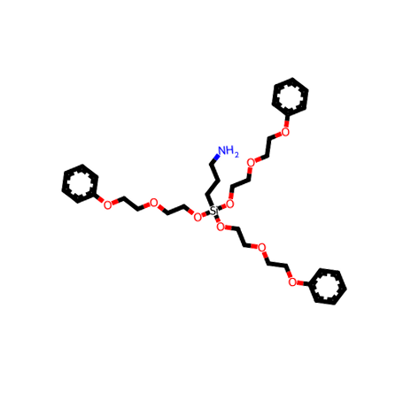 NCCC[Si](OCCOCCOc1ccccc1)(OCCOCCOc1ccccc1)OCCOCCOc1ccccc1